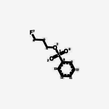 O=S(=O)(OCCCF)c1ccccc1